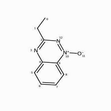 CCc1nc2ccccc2[n+]([O-])n1